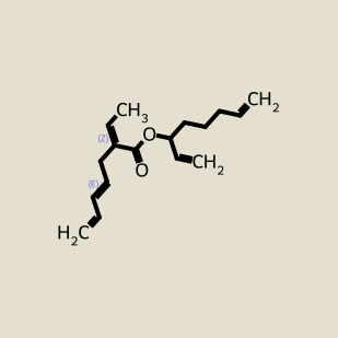 C=C/C=C/C/C(=C/C)C(=O)OC(C=C)CCCC=C